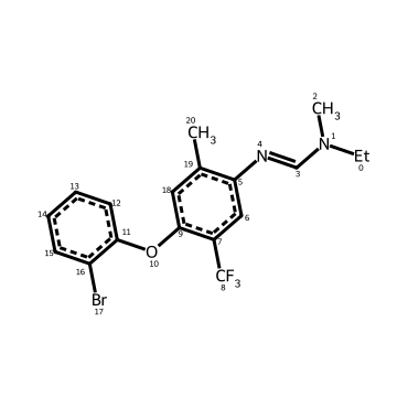 CCN(C)C=Nc1cc(C(F)(F)F)c(Oc2ccccc2Br)cc1C